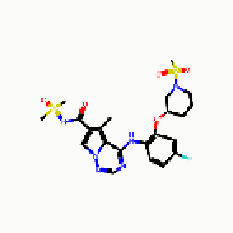 Cc1c(C(=O)N=S(C)(C)=O)cn2ncnc(Nc3ccc(F)cc3O[C@@H]3CCCN(S(C)(=O)=O)C3)c12